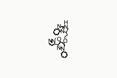 Cn1nccc1-c1nn(-c2ccccc2)cc(OCCC2CNc3nc4ccccc4n32)c1=O